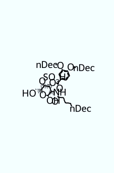 CCCCCCCCCCCCCC(=O)N[C@H]1C(O)O[C@H](CO)[C@@H](OS(=O)(=O)O)[C@@H]1OC(=O)c1ccc(OCCCCCCCCCC)c(OCCCCCCCCCC)c1